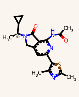 CC(=O)Nc1nc(-c2sc(C)nc2C)cc2c1C(=O)N([C@@H](C)C1CC1)C2